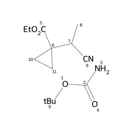 CC(C)(C)OC(N)=O.CCOC(=O)C1(C(C)C#N)CC1